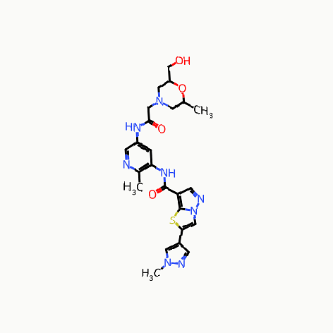 Cc1ncc(NC(=O)CN2CC(C)OC(CO)C2)cc1NC(=O)c1cnn2cc(-c3cnn(C)c3)sc12